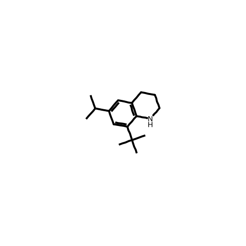 CC(C)c1cc2c(c(C(C)(C)C)c1)NCCC2